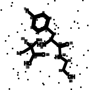 NC(Cc1ccc(F)cc1)C(=O)NCCO.O=C(O)C(F)(F)F